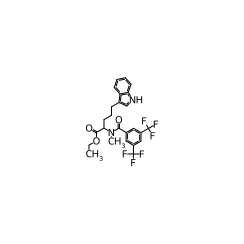 CCOC(=O)C(CCCc1c[nH]c2ccccc12)N(C)C(=O)c1cc(C(F)(F)F)cc(C(F)(F)F)c1